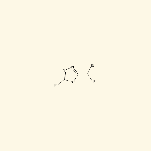 CCCC(CC)c1nnc(C(C)C)o1